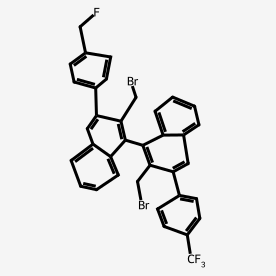 FCc1ccc(-c2cc3ccccc3c(-c3c(CBr)c(-c4ccc(C(F)(F)F)cc4)cc4ccccc34)c2CBr)cc1